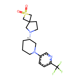 O=S1(=O)CC2(CCN([C@H]3CCCN(c4ccc(C(F)(F)F)nc4)C3)C2)C1